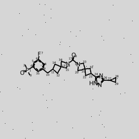 CP(C)(=O)c1cc(F)cc(CC2CC3(C2)CN(C(=O)N2CC4(CC(c5nc(C6CC6)n[nH]5)C4)C2)C3)c1